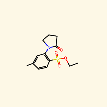 CCOS(=O)(=O)c1ccc(C)cc1N1CCCC1=O